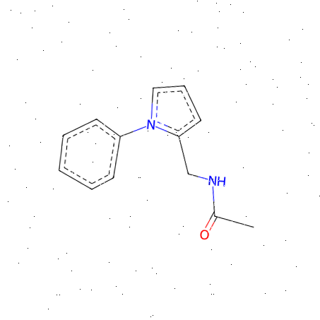 CC(=O)NCc1cccn1-c1ccccc1